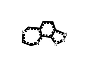 c1cnc2c(ccc3nnnc32)cn1